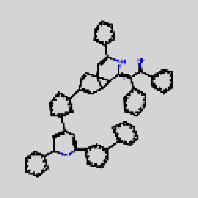 N=C(/C(=C1\NC(c2ccccc2)=CC23C=CC(c4cccc(C5=CC(c6ccccc6)NC(c6cccc(-c7ccccc7)c6)=C5)c4)=CC2C13)c1ccccc1)c1ccccc1